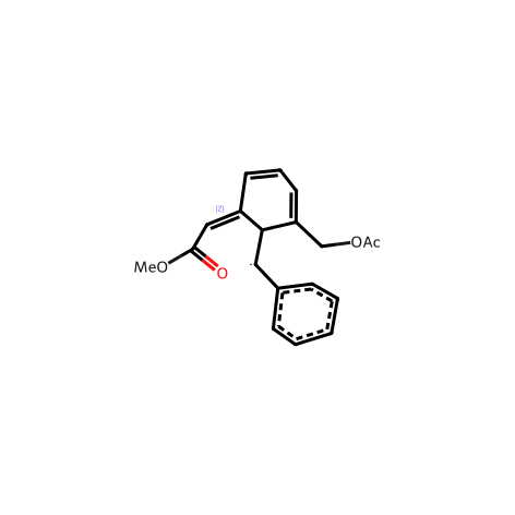 COC(=O)/C=C1/C=CC=C(COC(C)=O)C1[CH]c1ccccc1